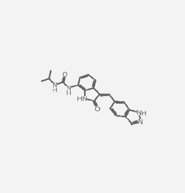 CC(C)NC(=O)Nc1cccc2c1NC(=O)C2=Cc1ccc2cn[nH]c2c1